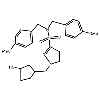 COc1ccc(CN(Cc2ccc(OC)cc2)S(=O)(=O)c2ccn(CC3CCC(O)C3)n2)cc1